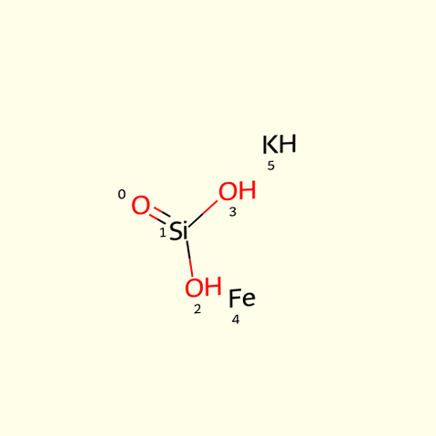 O=[Si](O)O.[Fe].[KH]